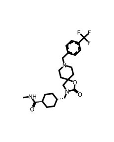 CNC(=O)[C@H]1CC[C@H](CN2CC3(CCN(Cc4ccc(C(F)(F)F)cc4)CC3)OC2=O)CC1